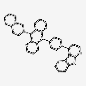 c1ccc2cc(-c3c4ccccc4c(-c4ccc(-c5ccnc6nc7ccccc7n56)cc4)c4ccccc34)ccc2c1